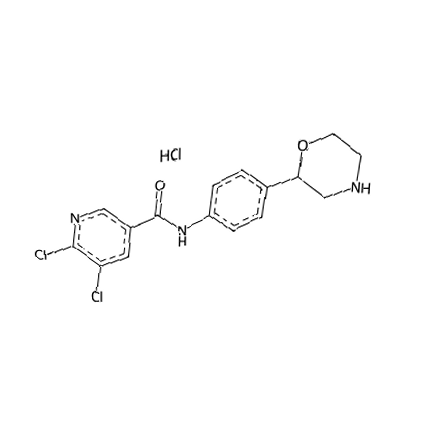 Cl.O=C(Nc1ccc(C2CNCCO2)cc1)c1cnc(Cl)c(Cl)c1